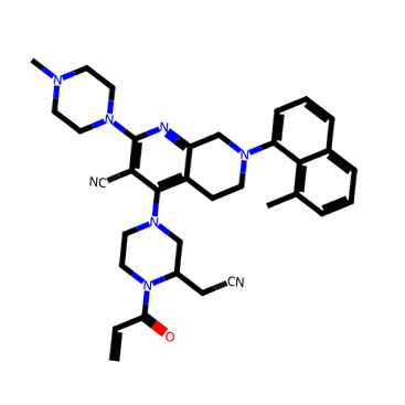 C=CC(=O)N1CCN(c2c(C#N)c(N3CCN(C)CC3)nc3c2CCN(c2cccc4cccc(C)c24)C3)CC1CC#N